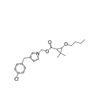 CCCCOC1C(C(=O)OCn2ccc(Cc3ccc(Cl)cc3)c2)C1(C)C